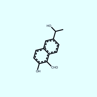 CC(O)c1ccc2c(C=O)c(O)ccc2c1